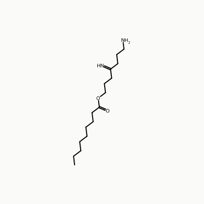 CCCCCCCCC(=O)OCCCC(=N)CCCN